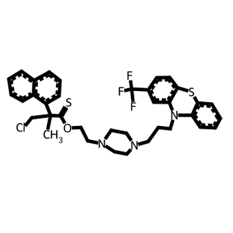 CC(CCl)(C(=S)OCCN1CCN(CCCN2c3ccccc3Sc3ccc(C(F)(F)F)cc32)CC1)c1cccc2ccccc12